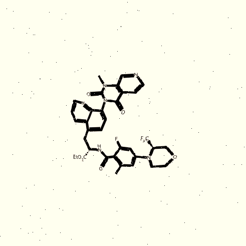 CCOC(=O)[C@H](Cc1ccc(-n2c(=O)c3ccncc3n(C)c2=O)c2ncccc12)NC(=O)c1c(C)cc(N2CCOC[C@@H]2C(F)(F)F)cc1F